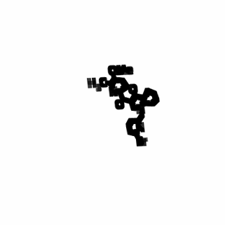 COc1ccc(C(=O)c2cn(Cc3cccc(Br)n3)c3ccccc3c2=O)nc1C